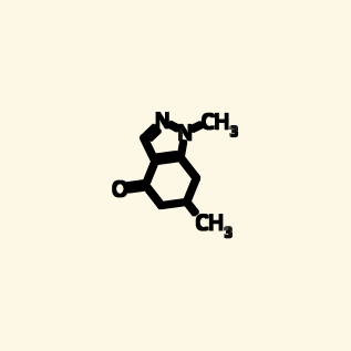 CC1CC(=O)c2cnn(C)c2C1